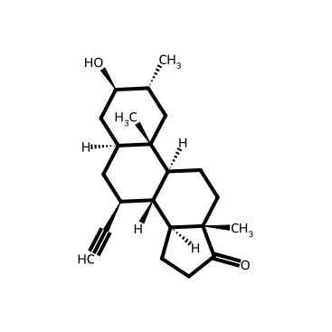 C#C[C@H]1C[C@H]2C[C@@H](O)[C@H](C)C[C@]2(C)[C@H]2CC[C@]3(C)C(=O)CC[C@H]3[C@H]12